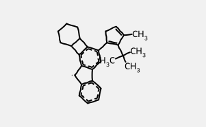 CC1=CCC(c2cc3c(c4c2C2CCCCC42)[CH]c2ccccc2-3)=C1C(C)(C)C